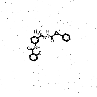 C/C(=N\NC(=O)C1CC1c1ccccc1)c1cccc(NC(=O)c2ccccc2F)c1